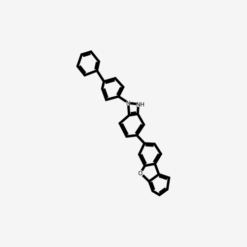 c1ccc(-c2ccc(-n3[nH]c4cc(-c5ccc6c(c5)oc5ccccc56)ccc43)cc2)cc1